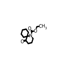 CCOC(=O)N1CCCC(=O)C12CCCCC2